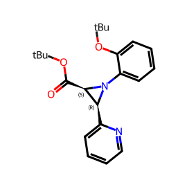 CC(C)(C)OC(=O)[C@@H]1[C@H](c2ccccn2)N1c1ccccc1OC(C)(C)C